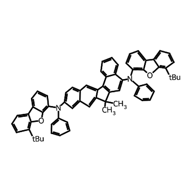 CC(C)(C)c1cccc2c1oc1c(N(c3ccccc3)c3ccc4cc5c(cc4c3)C(C)(C)c3cc(N(c4ccccc4)c4cccc6c4oc4c(C(C)(C)C)cccc46)c4ccccc4c3-5)cccc12